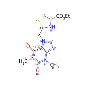 CCOC(=O)C1CSC(Cn2cnc3c2c(=O)n(C)c(=O)n3C)N1